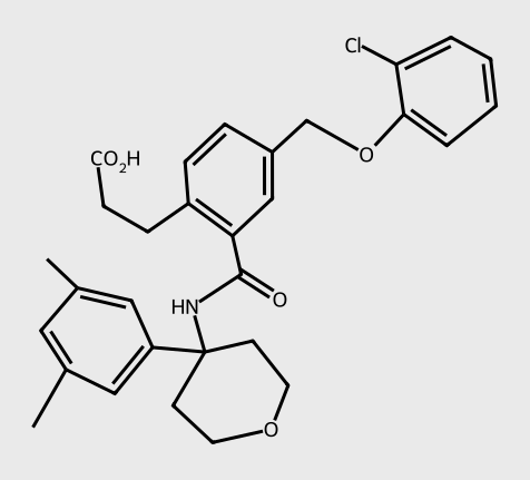 Cc1cc(C)cc(C2(NC(=O)c3cc(COc4ccccc4Cl)ccc3CCC(=O)O)CCOCC2)c1